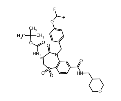 CC(C)(C)OC(=O)N[C@H]1CS(=O)(=O)c2ccc(C(=O)NCC3CCOCC3)cc2N(Cc2ccc(OC(F)F)cc2)C1=O